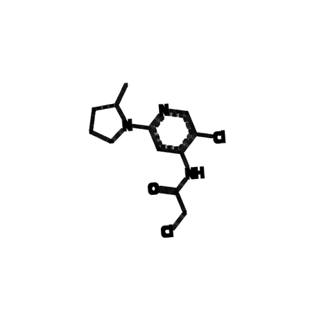 CC1CCCN1c1cc(NC(=O)CCl)c(Cl)cn1